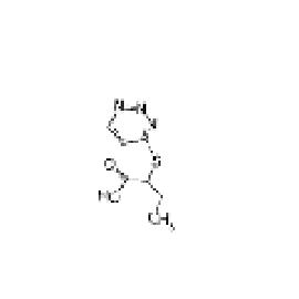 CCC(Sc1ccnnn1)C(=O)O